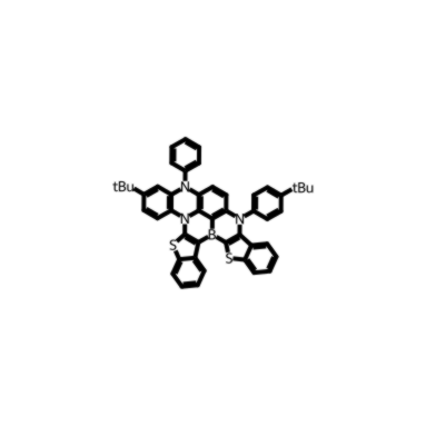 CC(C)(C)c1ccc(N2c3ccc4c5c3B(c3sc6ccccc6c32)c2c(sc3ccccc23)N5c2ccc(C(C)(C)C)cc2N4c2ccccc2)cc1